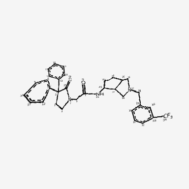 O=C(CN1CCC(c2ccccc2)(c2ccccc2)C1=O)NC1CCC2CN(Cc3cccc(C(F)(F)F)c3)CC21